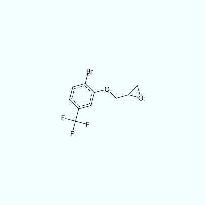 FC(F)(F)c1ccc(Br)c(OCC2CO2)c1